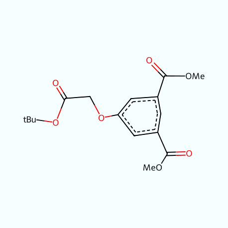 COC(=O)c1cc(OCC(=O)OC(C)(C)C)cc(C(=O)OC)c1